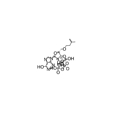 C=C(C)CCOC[C@H]1O[C@@H](n2cnc3c(O)ncnc32)[C@H](O)[C@@H]1OP(=O)(O)OP(=O)(O)OP(=O)(O)O